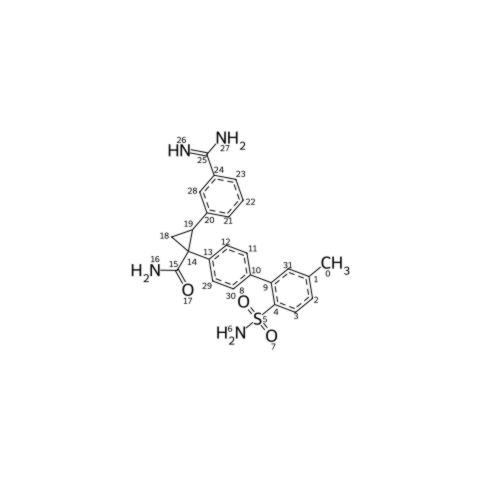 Cc1ccc(S(N)(=O)=O)c(-c2ccc(C3(C(N)=O)CC3c3cccc(C(=N)N)c3)cc2)c1